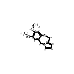 COc1cc2c(cc1OC)NCc1cccn1C2